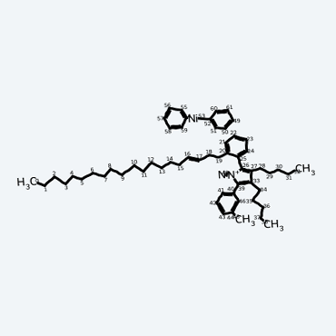 CCCCCCCCCCCCCCCCC=CCCc1ccccc1C1=C(CCCCC)C(CCCCC)=C(c2cccc(C)c2)[N+]1=[N-].c1cc[c]([Ni][c]2ccccc2)cc1